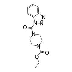 CCOC(=O)N1CCN(C(=O)n2nnc3ccccc32)CC1